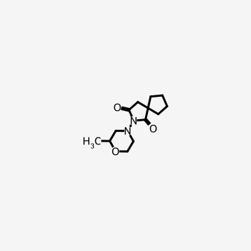 CC1CN(N2C(=O)CC3(CCCC3)C2=O)CCO1